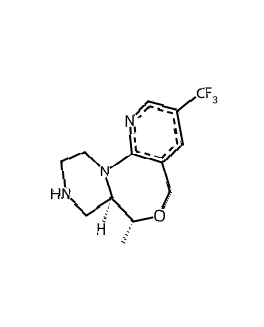 C[C@H]1OCc2cc(C(F)(F)F)cnc2N2CCNC[C@H]12